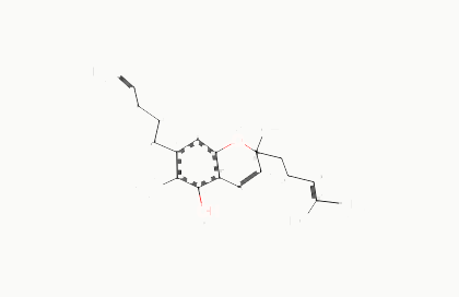 C=CCCCc1cc2c(c(O)c1C(=O)O)C=CC(C)(CCC=C(C)C)O2